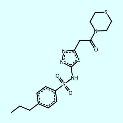 CCCc1ccc(S(=O)(=O)Nc2nnc(CC(=O)N3CCSCC3)s2)cc1